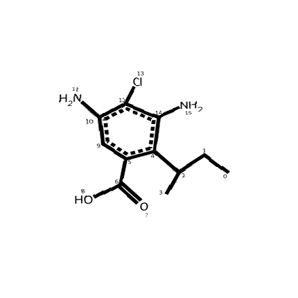 CCC(C)c1c(C(=O)O)cc(N)c(Cl)c1N